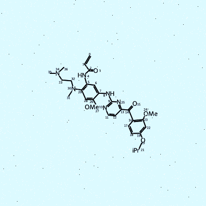 C=CC(=O)Nc1cc(Nc2nccc(C(=O)c3ccc(OC(C)C)cc3OC)n2)c(OC)cc1N(C)CCN(C)C